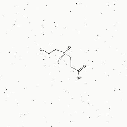 [NH]C(=O)CCS(=O)(=O)CCCl